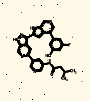 CC(C)CC(=O)Nc1cncc(-c2cc3c(-c4cc5c(-c6cc(O)cc(F)c6)cncc5[nH]4)n[nH]c3cn2)c1